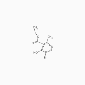 CCOC(=O)c1c(C)ncc(Br)c1O